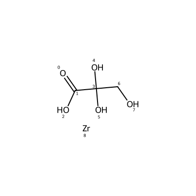 O=C(O)C(O)(O)CO.[Zr]